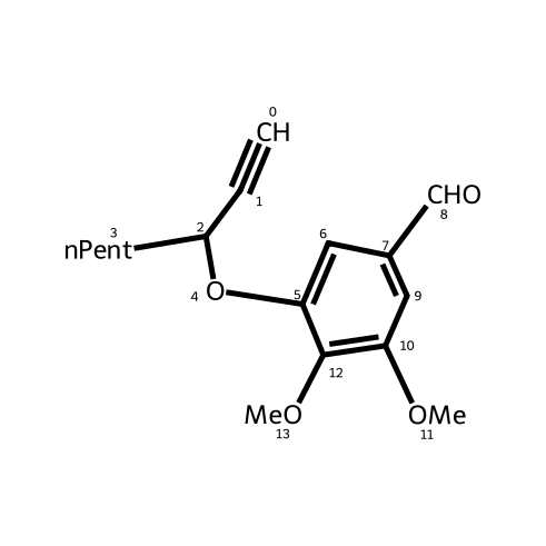 C#CC(CCCCC)Oc1cc(C=O)cc(OC)c1OC